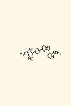 COc1ncccc1-c1cnn2ccc(N3CCN(C(=O)[C@@H](N)C(C)(C)C)CC3)nc12